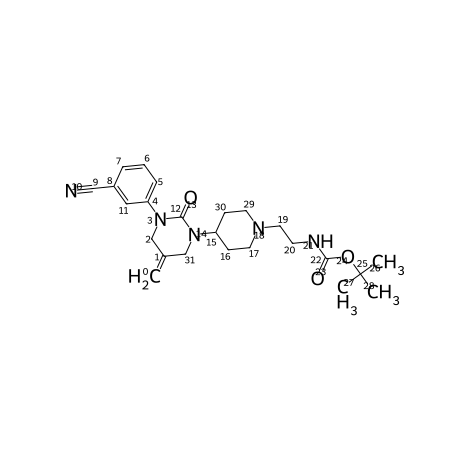 C=C1CN(c2cccc(C#N)c2)C(=O)N(C2CCN(CCNC(=O)OC(C)(C)C)CC2)C1